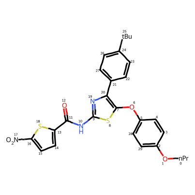 CCCOc1ccc(Oc2sc(NC(=O)c3ccc([N+](=O)[O-])s3)nc2-c2ccc(C(C)(C)C)cc2)cc1